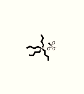 CCCC[N+](CCCC)(CCCC)CCCC.CS(=O)(=O)[O-]